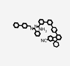 N#Cc1ccc2c(c1)C1(CCCCC1)c1cccc(C3=CCC(c4cccc(-c5cccc(/C(N)=N/C(=N\Cc6ccc(-c7ccccc7)cc6)c6ccccc6)c5)c4)C=C3)c1-2